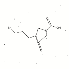 O=C1CN(C(=O)O)CC1CCCBr